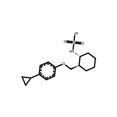 CC(C)S(=O)(=O)N[C@@H]1CCCC[C@H]1COc1ccc(C2CC2)cc1